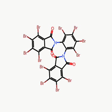 O=C1c2c(Br)c(Br)c(Br)c(Br)c2C(=O)N1c1c(Br)c(Br)c(Br)c(Br)c1N1C(=O)c2c(Br)c(Br)c(Br)c(Br)c2C1=O